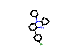 Brc1ccc(-c2cccc3c2Nc2ccccc2N3c2ccccc2)cc1